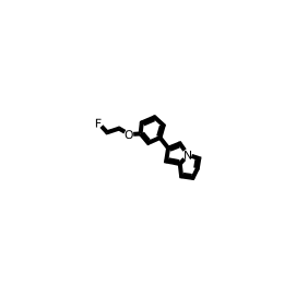 FCCOc1cccc(-c2cc3ccccn3c2)c1